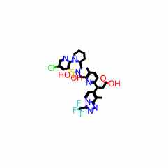 Cc1ccc(C(CC(=O)O)c2ccn3c(C(F)(F)F)nnc3c2C)nc1CN1CC2CCCCN2c2ncc(Cl)cc2S1(O)O